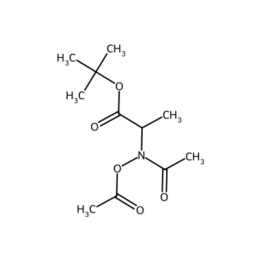 CC(=O)ON(C(C)=O)C(C)C(=O)OC(C)(C)C